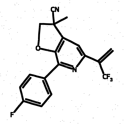 C=C(c1cc2c(c(-c3ccc(F)cc3)n1)OCC2(C)C#N)C(F)(F)F